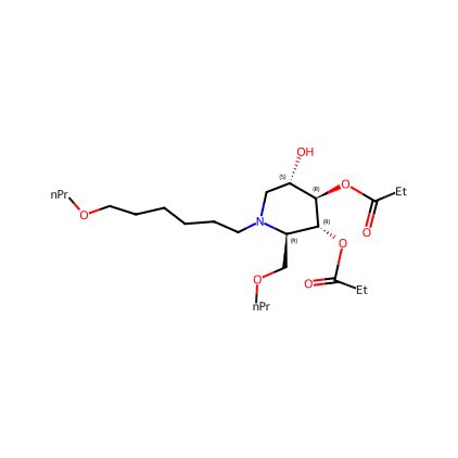 CCCOCCCCCCN1C[C@H](O)[C@@H](OC(=O)CC)[C@H](OC(=O)CC)[C@H]1COCCC